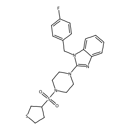 O=S(=O)(C1CCSC1)N1CCN(c2nc3ccccc3n2Cc2ccc(F)cc2)CC1